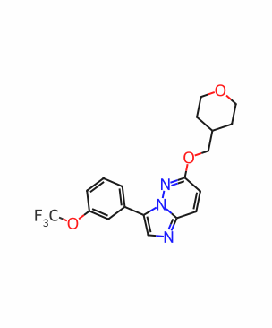 FC(F)(F)Oc1cccc(-c2cnc3ccc(OCC4CCOCC4)nn23)c1